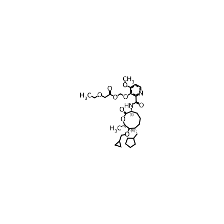 CCOCC(=O)OCOc1c(OC)ccnc1C(=O)N[C@H]1CCC[C@H](CC2CCCC2)[C@@H](OCC2CC2)[C@H](C)OC1=O